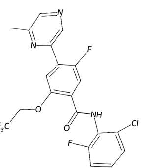 Cc1cncc(-c2cc(OCC(F)(F)F)c(C(=O)Nc3c(F)cccc3Cl)cc2F)n1